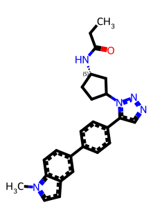 CCC(=O)N[C@H]1CCC(n2nncc2-c2ccc(-c3ccc4c(ccn4C)c3)cc2)C1